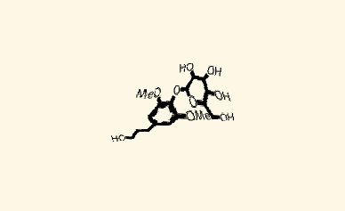 COc1cc(CCCO)cc(OC)c1OC1OC(CO)C(O)C(O)C1O